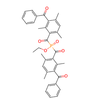 CCOP(=O)(C(=O)c1c(C)cc(C)c(C(=O)c2ccccc2)c1C)C(=O)c1c(C)cc(C)c(C(=O)c2ccccc2)c1C